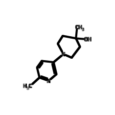 Cc1ccc(N2CCC(C)(O)CC2)cn1